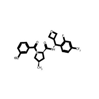 C[C@@H]1C[C@H](C(=O)N[C@@H](c2ccc(C(F)(F)F)cc2F)C2COC2)N(C(=O)c2cccc(C(C)(C)C)c2)C1